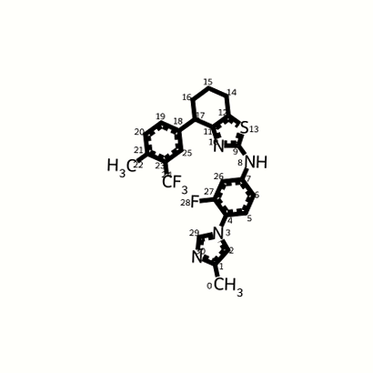 Cc1cn(-c2ccc(Nc3nc4c(s3)CCCC4c3ccc(C)c(C(F)(F)F)c3)cc2F)cn1